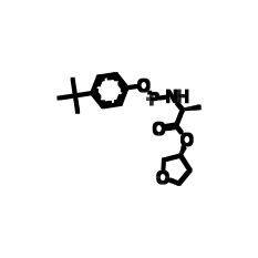 C[C@H](N[P]Oc1ccc(C(C)(C)C)cc1)C(=O)O[C@H]1CCOC1